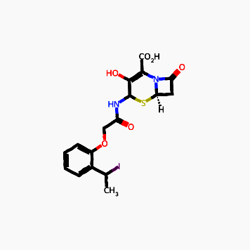 CC(I)c1ccccc1OCC(=O)NC1S[C@@H]2CC(=O)N2C(C(=O)O)=C1O